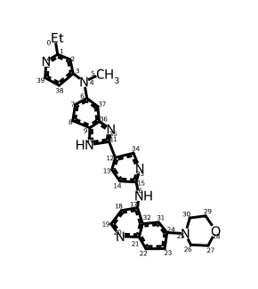 CCc1cc(N(C)c2ccc3[nH]c(-c4ccc(Nc5ccnc6ccc(N7CCOCC7)cc56)nc4)nc3c2)ccn1